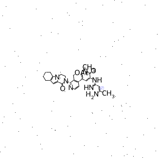 CC(=O)OCc1c(-c2cc(NC(=N)/C=C(/C)N)c(=O)n(C)c2)ccnc1N1CCn2c(cc3c2CCCC3)C1=O